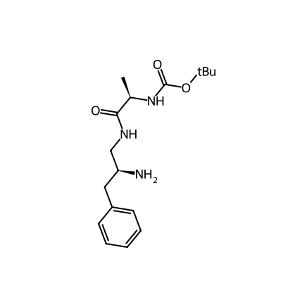 C[C@@H](NC(=O)OC(C)(C)C)C(=O)NC[C@@H](N)Cc1ccccc1